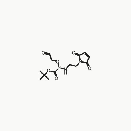 CC(C)(C)OC(=O)N(NCCN1C(=O)C=CC1=O)OCC=O